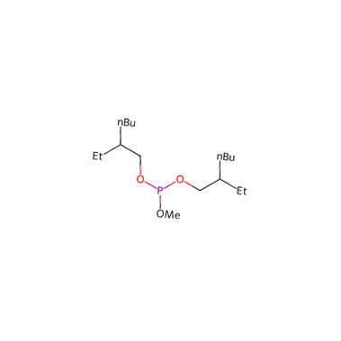 CCCCC(CC)COP(OC)OCC(CC)CCCC